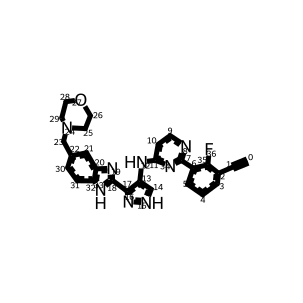 C#Cc1cccc(-c2nccc(Nc3c[nH]nc3-c3nc4cc(CN5CCOCC5)ccc4[nH]3)n2)c1F